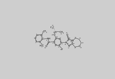 Cc1cccc(C(F)(F)F)c1NC(=O)c1cc(F)c(-n2nc3n(c2=O)CCCOC3)cc1O[C@@H](C)C(F)(F)F